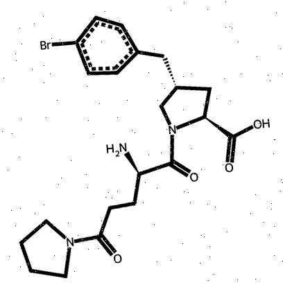 N[C@H](CCC(=O)N1CCCC1)C(=O)N1C[C@H](Cc2ccc(Br)cc2)C[C@H]1C(=O)O